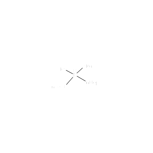 CCCCCCC[PH](CC)(CCCC)CCCCC